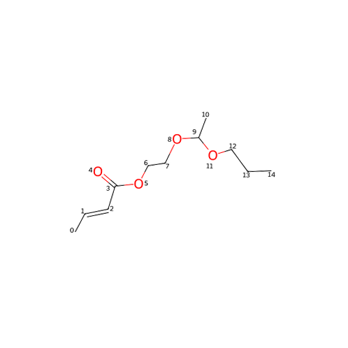 CC=CC(=O)OCCOC(C)OCCC